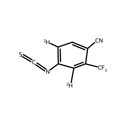 [2H]c1cc(C#N)c(C(F)(F)F)c([2H])c1N=C=S